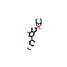 Cc1c(-c2cc3cc(N(C(=O)O)C4C5COCC4CN(C)C5)ncc3c(N)c2F)cnc2c1NCCO2